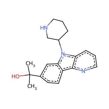 CC(C)(O)c1ccc2c3ncccc3n(C3CCCNC3)c2c1